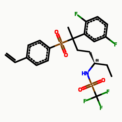 C=Cc1ccc(S(=O)(=O)C(C)(CC[C@H](CC)NS(=O)(=O)C(F)(F)F)c2cc(F)ccc2F)cc1